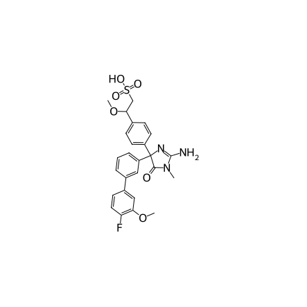 COc1cc(-c2cccc(C3(c4ccc(C(CS(=O)(=O)O)OC)cc4)N=C(N)N(C)C3=O)c2)ccc1F